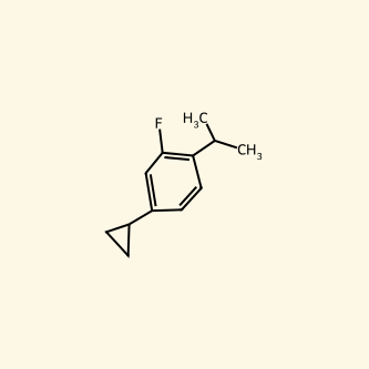 CC(C)c1ccc(C2CC2)cc1F